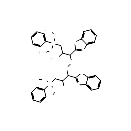 CO[Si](CC(C)C(SSC(c1nc2ccccc2s1)C(C)C[Si](OC)(OC)c1ccccc1)c1nc2ccccc2s1)(OC)c1ccccc1